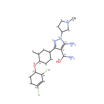 CC1CC(c2nn(C3CCN(C#N)C3)c(N)c2C(N)O)CCC1OC1CCC(F)=CC1F